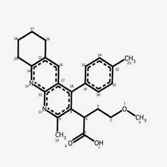 COCCC(C(=O)O)c1c(C)nc2nc3c(cc2c1-c1ccc(C)cc1)CCCC3